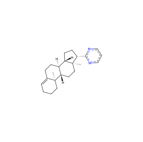 C[C@]12CC[C@H]3[C@@H](CCC4=CCCC[C@@]43C)[C@@H]1CC[C@@H]2c1ncccn1